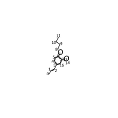 C/C=C/c1ccc(OCCCC)c(OC)c1